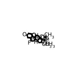 COC(=O)[C@@]1(OC(C)=O)[C@@H](C)C[C@H]2[C@@H]3C[C@H](F)C4=CC(=O)C=C[C@]4(C)[C@@]34O[C@H]4C[C@@]21C